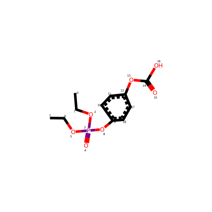 CCOP(=O)(OCC)Oc1ccc(OC(=O)O)cc1